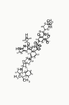 CC(C)c1ccccc1[C@H]1CCCN1C1CC2(CCN(c3ccc(C(=O)NS(=O)(=O)c4cc5c(c([N+](=O)[O-])c4)N[C@@H](C4CCC(C)(O)CC4)CO5)c(Oc4cc5cc[nH]c5nc4OC4CNC4)c3)CC2)C1